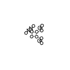 c1ccc(N2CCN(c3ccccc3)c3cc4c(cc32)-c2ccccc2-c2ccc(-c3cccc5c3oc3ccccc35)cc2-c2cc(-c3cccc5c3oc3ccccc35)ccc2-4)cc1